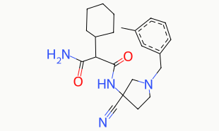 Cc1cccc(CN2CCC(C#N)(NC(=O)C(C(N)=O)C3CCCCC3)C2)c1